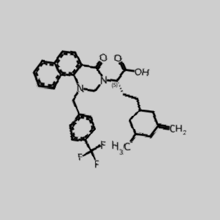 C=C1CC(C)CC(CC[C@@H](C(=O)O)N2CN(Cc3ccc(C(F)(F)F)cc3)c3c(ccc4ccccc34)C2=O)C1